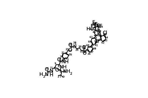 CC(C)C(N)C(=O)NC(CCCNC(N)=O)C(=O)Nc1ccc(COC(=O)N(C)CCCS(=O)(=O)c2cccc(-c3ccc(C4CC(C(O)(C(F)(F)F)C(F)(F)F)=NN4c4c(Cl)cccc4Cl)cc3)c2)cc1